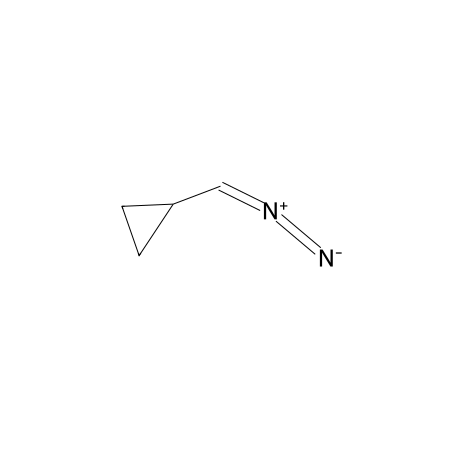 [N-]=[N+]=CC1CC1